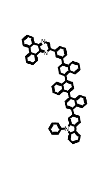 c1ccc(-n2c3ccccc3c3ccc(-c4ccc(-c5ccc(C6=c7ccccc7=C(c7cccc(-c8cnc9c%10ccccc%10c%10ccccc%10c9n8)c7)CC6)c6ccccc56)c5ccccc45)cc32)cc1